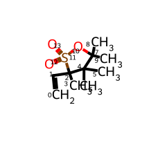 C=CC1(C)C(C)(C)C(C)(C)OS1(=O)=O